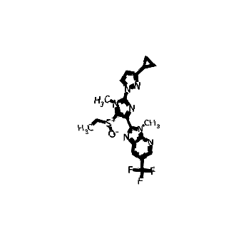 CC[S+]([O-])c1c(-c2nc3cc(C(F)(F)F)cnc3n2C)nc(-n2ccc(C3CC3)n2)n1C